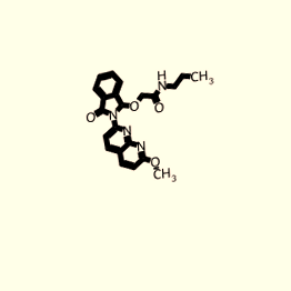 CCCNC(=O)COC1c2ccccc2C(=O)N1c1ccc2ccc(OC)nc2n1